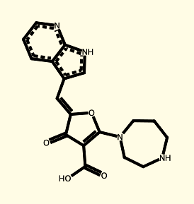 O=C(O)C1=C(N2CCCNCC2)OC(=Cc2c[nH]c3ncccc23)C1=O